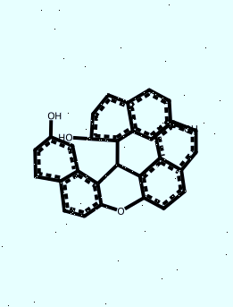 Oc1ccc2ccc(O)c(C3c4c(ccc5ccccc45)Oc4ccc5ccc(O)cc5c43)c2c1